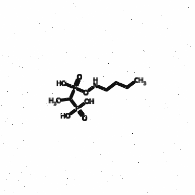 CCCCNOP(=O)(O)C(C)P(=O)(O)O